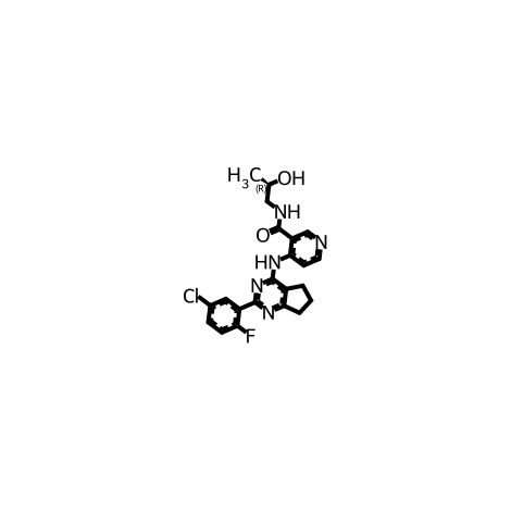 C[C@@H](O)CNC(=O)c1cnccc1Nc1nc(-c2cc(Cl)ccc2F)nc2c1CCC2